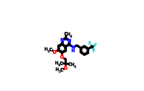 COc1cc2nc(C)nc(NCc3cccc(C(F)(F)F)c3)c2cc1OCC(C)(C)OC